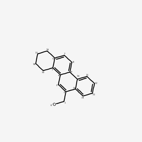 [O]Cc1cc2c3c(ccc2c2ccccc12)CCCC3